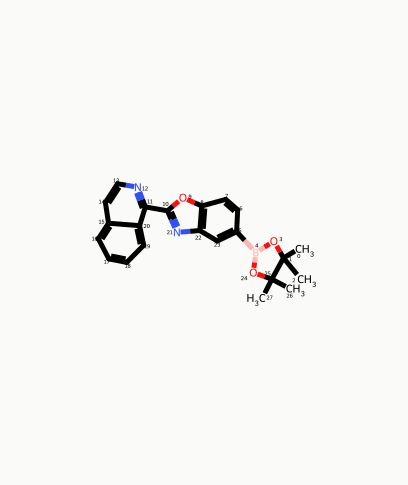 CC1(C)OB(c2ccc3oc(-c4nccc5ccccc45)nc3c2)OC1(C)C